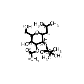 CC(=O)OC1C(O)C(CO)OC(CC(C)C)C1NC(=O)C(C)(C)C